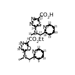 CCOC(=O)c1nnc(N(C)Cc2ccccn2)o1.CN(Cc1ccccn1)c1nnc(C(=O)O)s1